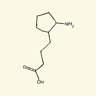 NC1CCCC1CCCC(=O)O